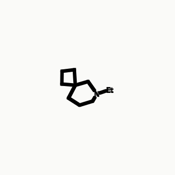 CCN1CCCC2(CCC2)C1